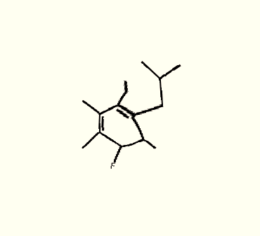 CC1=C(CC(C)C)C(C)C(F)C(C)=C1C